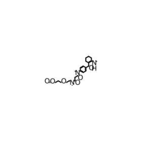 CNC1=C(C(=O)c2ccc(N(C)C(=O)CC(=O)N(C)CCOCCCOC=O)cc2)CCCC1